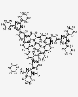 N/C(=N\C(=N/CC1CCCCC1)c1ccccc1)c1ccc(-c2ccc(-c3ccccc3-c3cc(-c4ccccc4-c4ccc(-c5ccc(-c6nc(-c7ccccc7)nc(C7CCCCC7)n6)cn5)cc4)cc(-c4ccccc4-c4ccc(-c5ccc(-c6nc(-c7ccccc7)nc(C7CCCCC7)n6)cn5)cc4)c3)cc2)nc1